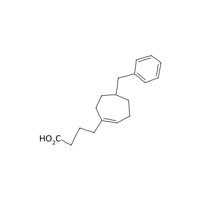 O=C(O)CCCC1=CCCC(Cc2ccccc2)CC1